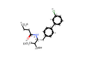 CCOC(=O)C(OC)[C@@H](Cc1ccc(-c2cccc(Cl)c2)cc1)NC(=O)CCC(=O)O